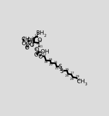 B[C@H]1C[C@@H](OP(=O)(O)OC)[C@@H](COP(=O)(O)OCCCCCCSSCCCCCC)O1